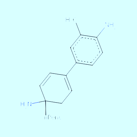 CCCCCC1(N)C=CC(c2ccc(N)c(C)c2)=CC1